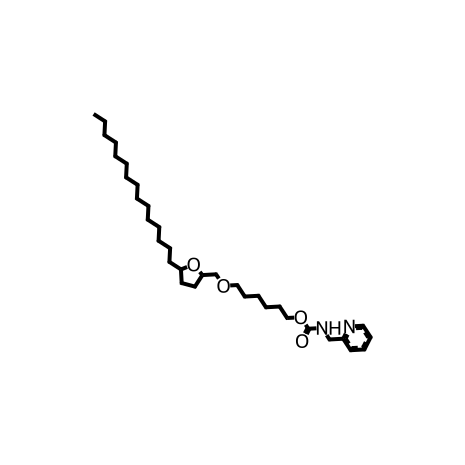 CCCCCCCCCCCCCCCC1CCC(COCCCCCCOC(=O)NCc2ccccn2)O1